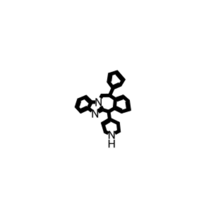 C1=C(C2c3ccccc3C(c3ccccc3)Cn3c2nc2ccccc23)CCNC1